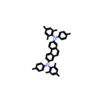 Cc1ccc(N(c2ccc3c(ccc4cc(N(c5ccc(C)cc5)c5c(C)cc(C)cc5C)ccc43)c2)c2c(C)cc(C)cc2C)cc1